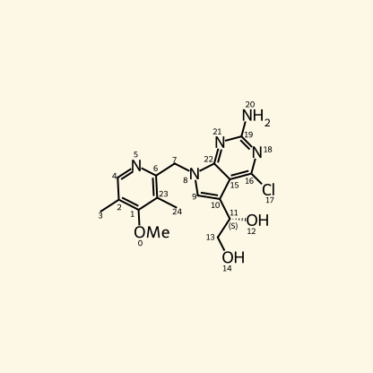 COc1c(C)cnc(Cn2cc([C@H](O)CO)c3c(Cl)nc(N)nc32)c1C